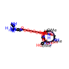 CO[C@H]1C[C@@H]2CC[C@@H](C)[C@@](O)(O2)C(=O)C(=O)N2CCCC[C@H]2C(=O)O[C@H]([C@H](N)C[C@@H]2CC[C@@H](O)[C@H](OC)C2)C[C@@H](O)[C@H](C)/C=C(\C)[C@@H](O)[C@@H](OC)C(=N)[C@H](C)C[C@H](C)/C(COCC(=O)NCCOCCOCCOCCOCCOCCOCCOCCOCCC(=O)N2CCc3cc(Cn4nc(-c5cnc6[nH]ccc6c5)c5c(N)ncnc54)ccc3C2)=C/C=C/C=C/1C